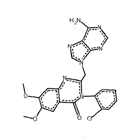 COc1cc2nc(Cn3cnc4c(N)ncnc43)n(-c3ccccc3Cl)c(=O)c2cc1OC